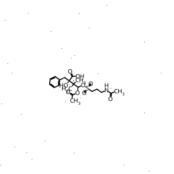 CC(=O)NCCCS(=O)(=O)OC(OC(C)=O)C(C)(C)[C@](O)(Cc1ccccc1)C(=O)O